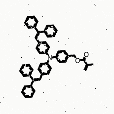 C=C(C)C(=O)OCc1ccc(N(c2ccc(C=C(c3ccccc3)c3ccccc3)cc2)c2ccc(C=C(c3ccccc3)c3ccccc3)cc2)cc1